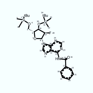 CC(C)(C)[Si](C)(C)OC[C@H]1O[C@@H](n2cnc3c(NC(=O)c4ccccc4)ncnc32)[C@H](F)[C@@H]1O[Si](C)(C)C(C)(C)C